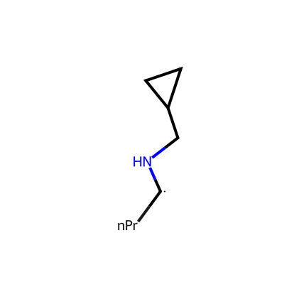 CCC[CH]NCC1CC1